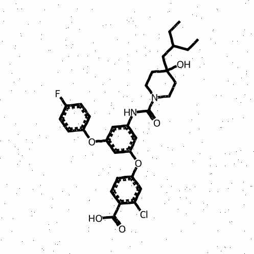 CCC(CC)CC1(O)CCN(C(=O)Nc2cc(Oc3ccc(F)cc3)cc(Oc3ccc(C(=O)O)c(Cl)c3)c2)CC1